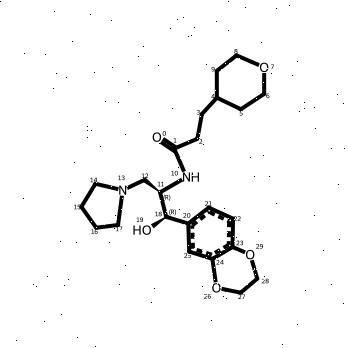 O=C(CCC1CCOCC1)N[C@H](CN1CCCC1)[C@H](O)c1ccc2c(c1)OCCO2